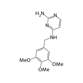 COc1cc(CNc2ccnc(N)n2)cc(OC)c1OC